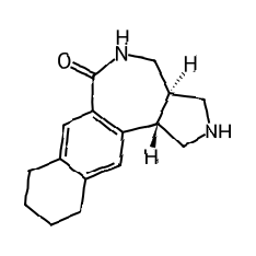 O=C1NC[C@H]2CNC[C@@H]2c2cc3c(cc21)CCCC3